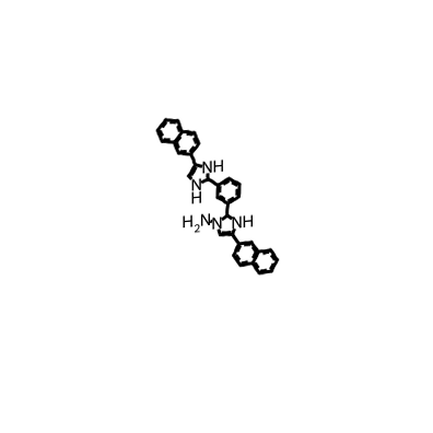 NN1C=C(c2ccc3ccccc3c2)NC1c1cccc(C2NC=C(c3ccc4ccccc4c3)N2)c1